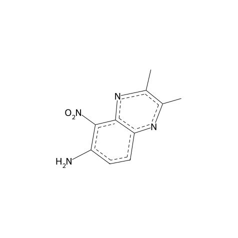 Cc1nc2ccc(N)c([N+](=O)[O-])c2nc1C